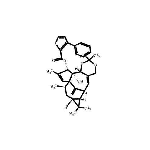 CC1=C[C@]23C(=O)[C@@H](C=C4COC(C)(C)O[C@H]4[C@]2(O)[C@H]1OC(=O)c1sccc1-c1ccccc1)[C@H]1[C@@H](C[C@H]3C)C1(C)C